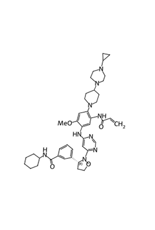 C=CC(=O)Nc1cc(Nc2cc(N3OCC[C@@H]3c3cccc(C(=O)NC4CCCCC4)c3)ncn2)c(OC)cc1N1CCC(N2CCN(C3CC3)CC2)CC1